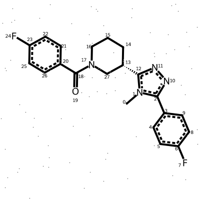 Cn1c(-c2ccc(F)cc2)nnc1[C@H]1CCCN(C(=O)c2ccc(F)cc2)C1